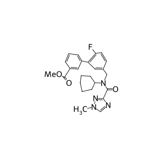 COC(=O)c1cccc(-c2cc(CN(C(=O)c3ncn(C)n3)C3CCCCC3)ccc2F)c1